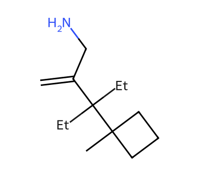 C=C(CN)C(CC)(CC)C1(C)CCC1